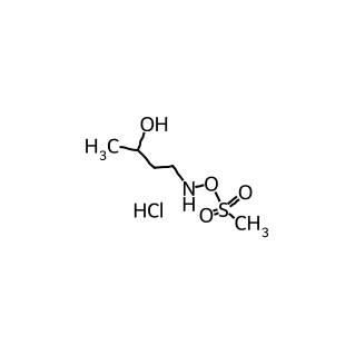 CC(O)CCNOS(C)(=O)=O.Cl